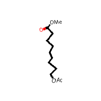 [CH2]C(=O)OCCCCCCCCC(=O)OC